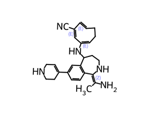 C/C(N)=C1/NCCC(NC2=C/CC/C=C/C(C#N)=C\2)c2cc(C3=CCNCC3)ccc21